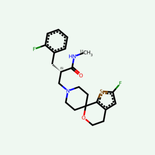 [11CH3]NC(=O)[C@@H](Cc1ccccc1F)CN1CCC2(CC1)OCCc1cc(F)sc12